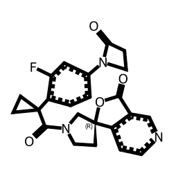 O=C1O[C@]2(CCN(C(=O)C3(c4ccc(N5CCC5=O)cc4F)CC3)C2)c2ccncc21